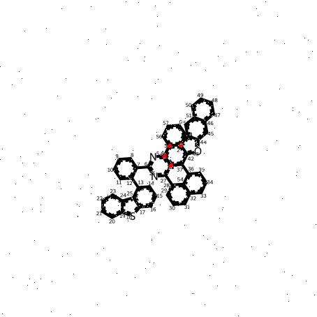 c1ccc(-c2nc(-c3ccccc3-c3cccc4sc5ccccc5c34)nc(-c3cccc4cccc(-c5cccc6c5oc5cc7ccccc7cc56)c34)n2)cc1